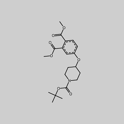 COC(=O)c1ccc(OC2CCN(C(=O)OC(C)(C)C)CC2)cc1C(=O)OC